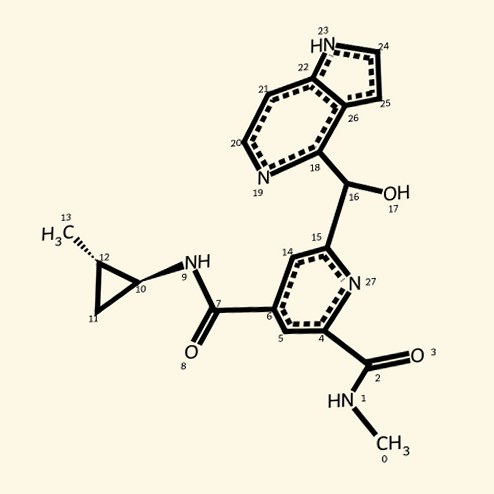 CNC(=O)c1cc(C(=O)N[C@H]2C[C@@H]2C)cc(C(O)c2nccc3[nH]ccc23)n1